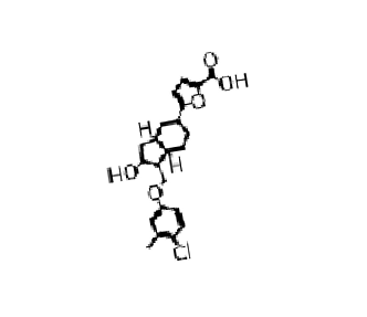 Cc1cc(OC[C@@H]2[C@H]3CC[C@H](c4ccc(C(=O)O)o4)C[C@H]3C[C@@H]2O)ccc1Cl